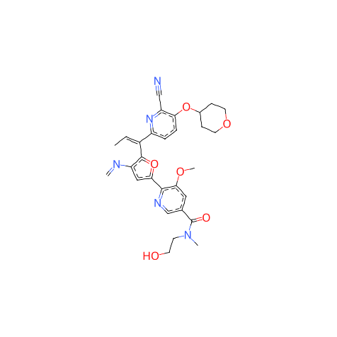 C=Nc1cc(-c2ncc(C(=O)N(C)CCO)cc2OC)oc1/C(=C\C)c1ccc(OC2CCOCC2)c(C#N)n1